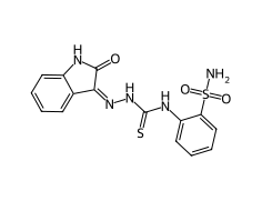 NS(=O)(=O)c1ccccc1NC(=S)NN=C1C(=O)Nc2ccccc21